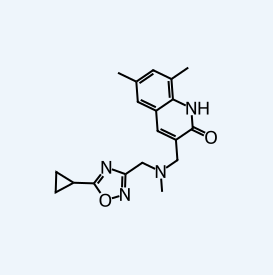 Cc1cc(C)c2[nH]c(=O)c(CN(C)Cc3noc(C4CC4)n3)cc2c1